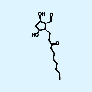 CCCCCCCC(=O)CC[C@H]1[C@@H](C=O)[C@H](O)C[C@@H]1O